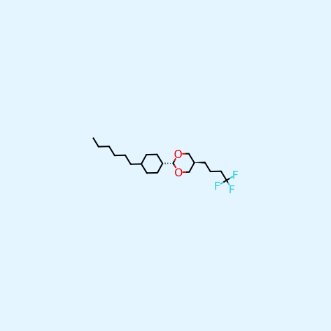 CCCCCCC1CCC([C@H]2OC[C@H](CCCC(F)(F)F)CO2)CC1